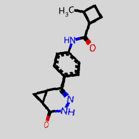 CC1CCC1C(=O)Nc1ccc(C2=NNC(=O)C3CC23)cc1